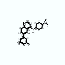 CN(C)C1CCC(Nc2ncnc3ccc(-c4cc(F)cc(F)c4)cc23)CC1